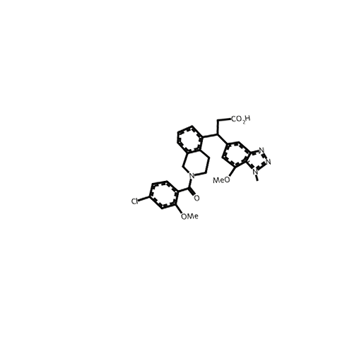 COc1cc(Cl)ccc1C(=O)N1CCc2c(cccc2C(CC(=O)O)c2cc(OC)c3c(c2)nnn3C)C1